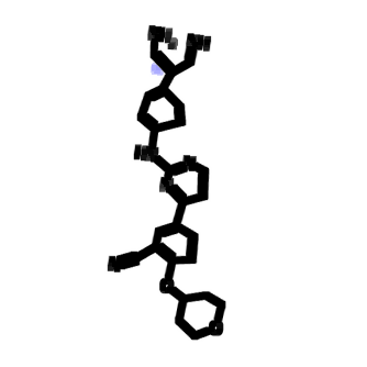 N#Cc1cc(-c2ccnc(Nc3ccc(/C(C=N)=C/N)cc3)n2)ccc1OC1CCOCC1